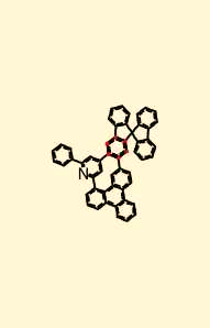 c1ccc(-c2cc(-c3ccccc3)nc(-c3cccc4c5ccccc5c5ccc(-c6ccc7c(c6)C6(c8ccccc8-c8ccccc86)c6ccccc6-7)cc5c34)c2)cc1